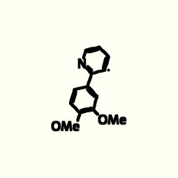 COc1ccc(-c2[c]cccn2)cc1OC